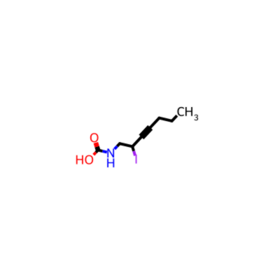 CCCC#CC(I)CNC(=O)O